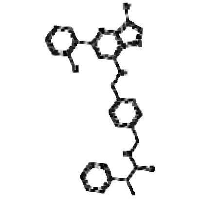 CC(C(=O)NCc1ccc(CNc2cc(-c3ccccc3Cl)nc3c(Br)cnn23)cc1)c1ccccc1